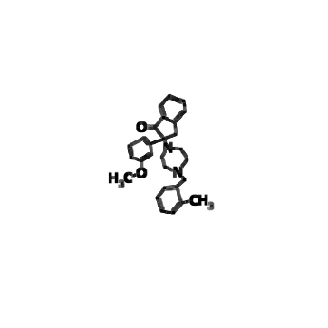 COc1cccc(C2(N3CCN(Cc4ccccc4C)CC3)Cc3ccccc3C2=O)c1